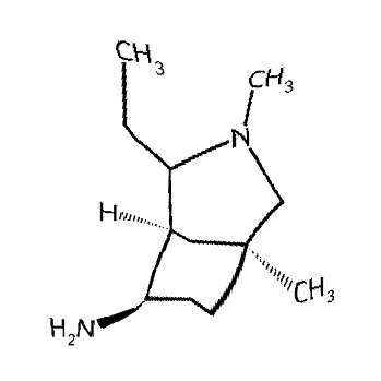 CCC1[C@@H]2[C@H](N)C[C@]2(C)CN1C